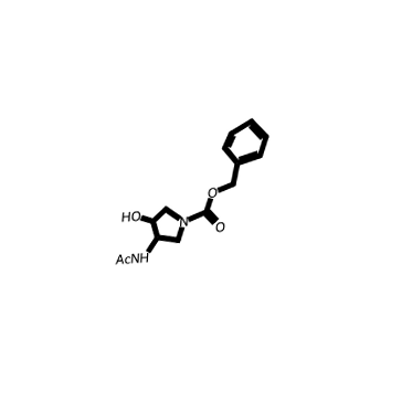 CC(=O)NC1CN(C(=O)OCc2ccccc2)CC1O